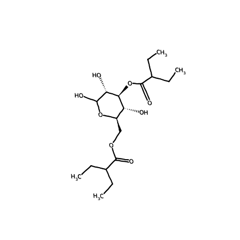 CCC(CC)C(=O)OC[C@H]1OC(O)[C@H](O)[C@@H](OC(=O)C(CC)CC)[C@@H]1O